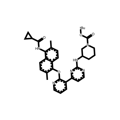 Cc1ccc2c(Oc3ncccc3-c3ccnc(NC4CCCN(C(=O)OC(C)(C)C)C4)n3)c(C)ccc2c1NC(=O)C1CC1